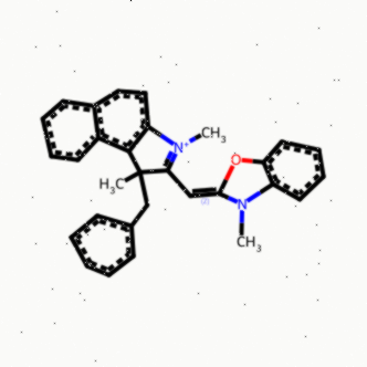 CN1/C(=C/C2=[N+](C)c3ccc4ccccc4c3C2(C)Cc2ccccc2)Oc2ccccc21